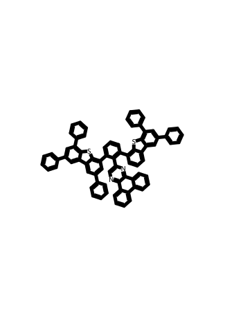 c1ccc(-c2cc(-c3ccccc3)c3sc4c(-c5cccc(-c6cc(-c7ccccc7)cc7c6sc6c(-c8ccccc8)cc(-c8ccccc8)cc67)c5-c5cnc6c7ccccc7c7ccccc7c6n5)cccc4c3c2)cc1